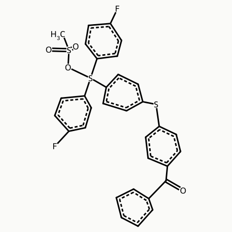 CS(=O)(=O)OS(c1ccc(F)cc1)(c1ccc(F)cc1)c1ccc(Sc2ccc(C(=O)c3ccccc3)cc2)cc1